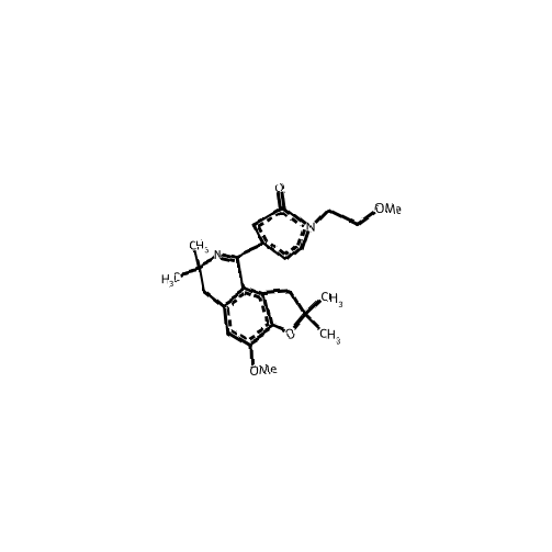 COCCn1ccc(C2=NC(C)(C)Cc3cc(OC)c4c(c32)CC(C)(C)O4)cc1=O